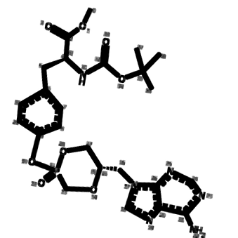 COC(=O)[C@H](Cc1ccc(OP2(=O)CO[C@@H](Cn3cnc4c(N)ncnc43)CO2)cc1)NC(=O)OC(C)(C)C